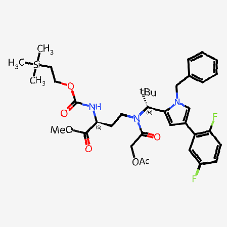 COC(=O)[C@H](CCN(C(=O)COC(C)=O)[C@@H](c1cc(-c2cc(F)ccc2F)cn1Cc1ccccc1)C(C)(C)C)NC(=O)OCC[Si](C)(C)C